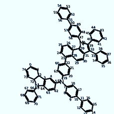 C1=CC2c3cc(N(c4ccc(-c5ccccc5)cc4)c4ccc(-c5cccc6c5ccc5c(-c7ccccc7)c(-c7ccccc7)n(-c7ccc(-c8ccccc8)cc7)c56)cc4)ccc3N(c3ccccc3)C2C=C1